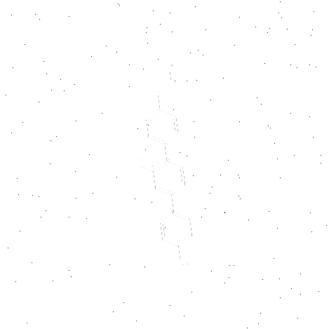 CCCCc1ccc(-c2ccc(-c3ccc(CCO)cc3)c(CC)c2)cc1